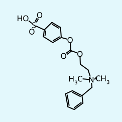 C[N+](C)(CCOC(=O)Oc1ccc(S(=O)(=O)O)cc1)Cc1ccccc1